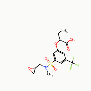 CCC(Oc1cc(C(F)(F)F)cc(S(=O)(=O)N(C)CC2CO2)c1)C(=O)O